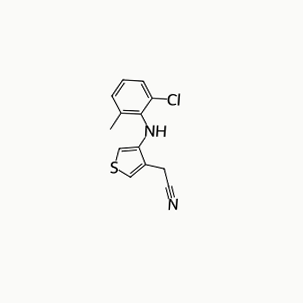 Cc1cccc(Cl)c1Nc1cscc1CC#N